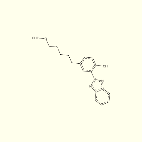 O=COCSCCCc1ccc(O)c(-n2nc3ccccc3n2)c1